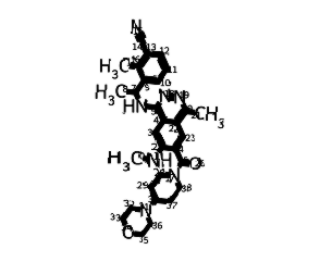 CNc1cc2c(NC(C)c3cccc(C#N)c3C)nnc(C)c2cc1C(=O)N1CCC(N2CCOCC2)CC1